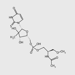 COC[C@H](COP(=O)(O)OC[C@H]1O[C@@H](n2ccc(=O)[nH]c2=S)C(C)(O)[C@H]1O)NC(C)=O